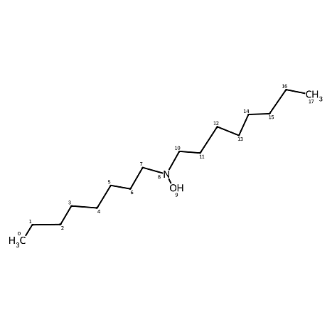 CCCCCCCCN(O)CCCCCCCC